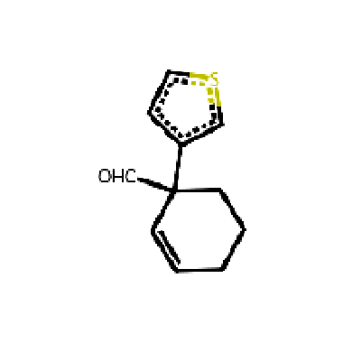 O=CC1(c2ccsc2)C=CCCC1